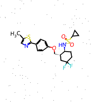 Cc1cnc(-c2ccc(OC[C@H]3CC(F)(F)CC[C@@H]3NS(=O)(=O)C3CC3)cc2)s1